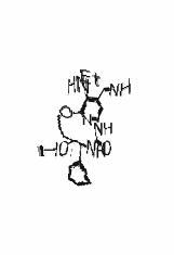 CCNc1c(C=N)cc2nc1OCCC[C@](C)(O)[C@H](c1ccccc1)NC(=O)N2